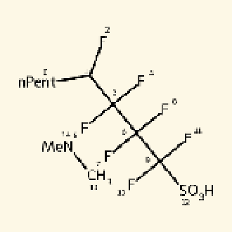 CCCCCC(F)C(F)(F)C(F)(F)C(F)(F)S(=O)(=O)O.CNC